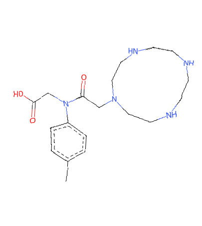 Cc1ccc(N(CC(=O)O)C(=O)CN2CCNCCNCCNCC2)cc1